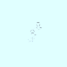 CC(O)C(C)NC1CN(C(=O)c2cc(Cc3n[nH]c(=O)c4ccccc34)ccc2F)C1